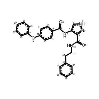 O=C(Nc1c[nH]nc1C(=O)NCCc1ccccc1)c1ccc(Oc2ccccc2)cc1